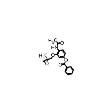 CC(=O)Nc1ccc(OC(=O)c2ccccc2)cc1OC[C@@]1(C)CO1